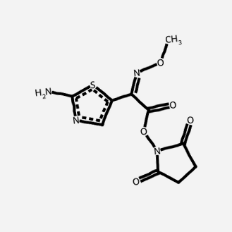 CO/N=C(\C(=O)ON1C(=O)CCC1=O)c1cnc(N)s1